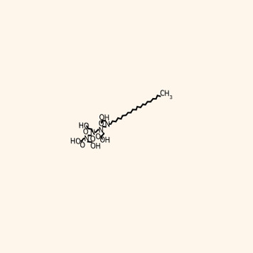 CCCCCCCCCCCCCCCCCCCCCCN(CCN(CCN(CCN(CC(=O)O)CC(=O)O)CC(=O)O)CC(=O)O)CC(=O)O